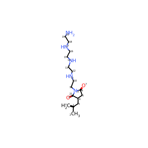 C=C(C)CC1CC(=O)N(CCNCCNCCNCCN)C1=O